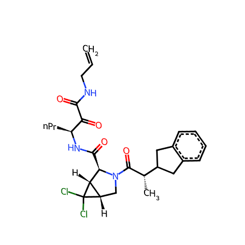 C=CCNC(=O)C(=O)[C@H](CCC)NC(=O)[C@@H]1[C@@H]2[C@H](CN1C(=O)[C@@H](C)C1Cc3ccccc3C1)C2(Cl)Cl